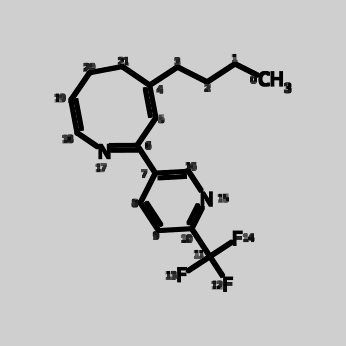 CCCC/C1=C/C(c2ccc(C(F)(F)F)nc2)=N\C=C/CC1